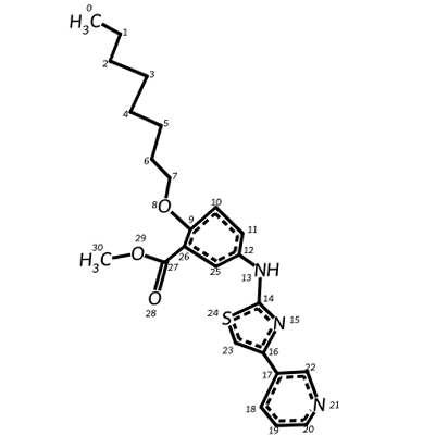 CCCCCCCCOc1ccc(Nc2nc(-c3cccnc3)cs2)cc1C(=O)OC